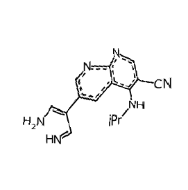 CC(C)Nc1c(C#N)cnc2ncc(/C(C=N)=C/N)cc12